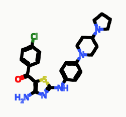 Nc1nc(Nc2ccc(N3CCC(N4CCCC4)CC3)cc2)sc1C(=O)c1ccc(Cl)cc1